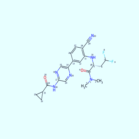 CN(C)C(=O)[C@@H](CC(F)F)Nc1cc(-c2cnc(NC(=O)C3CC3)cn2)ccc1C#N